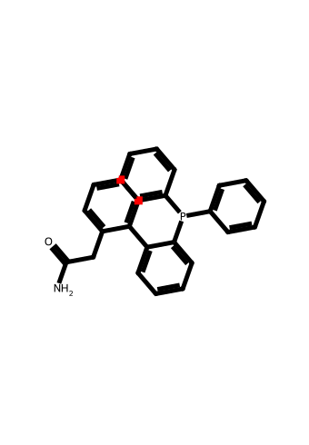 NC(=O)Cc1ccccc1-c1ccccc1P(c1ccccc1)c1ccccc1